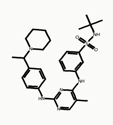 Cc1cnc(Nc2ccc(C(C)N3CCCCC3)cc2)nc1Nc1cccc(S(=O)(=O)NC(C)(C)C)c1